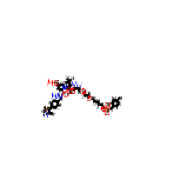 Cc1ccc(CS(=O)(=O)OCCCCCOCCOCCC(=O)N[C@H](C(=O)N2C[C@H](O)C[C@H]2C(=O)NCc2ccc(-c3scnc3C)cc2)C(C)(C)C)cc1